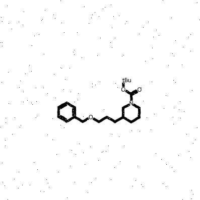 CC(C)(C)OC(=O)N1CCCC(CCCOCc2ccccc2)C1